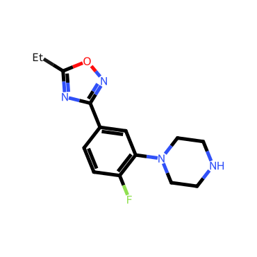 CCc1nc(-c2ccc(F)c(N3CCNCC3)c2)no1